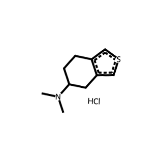 CN(C)C1CCc2cscc2C1.Cl